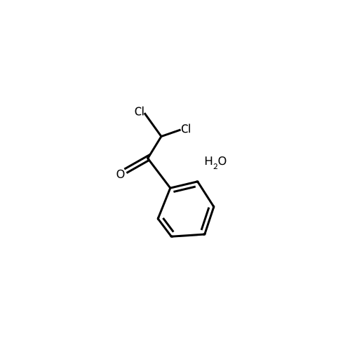 O.O=C(c1ccccc1)C(Cl)Cl